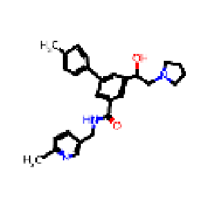 Cc1ccc(-c2cc(C(=O)NCc3ccc(C)nc3)cc(C(O)CN3CCCC3)c2)cc1